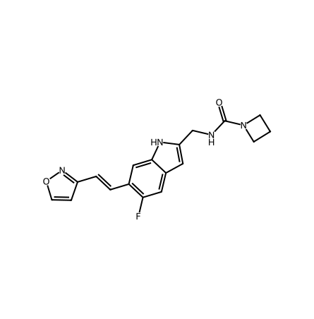 O=C(NCc1cc2cc(F)c(C=Cc3ccon3)cc2[nH]1)N1CCC1